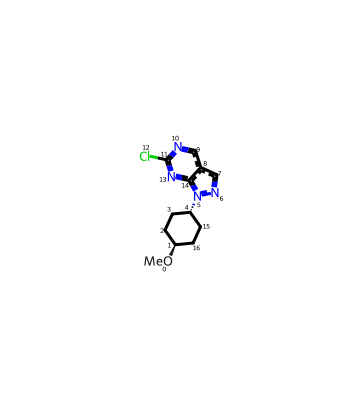 CO[C@H]1CC[C@H](n2ncc3cnc(Cl)nc32)CC1